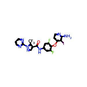 Nc1nccc(Oc2c(F)cc(NC(=O)c3cnn(-c4ncccn4)c3C(F)(F)F)cc2F)c1I